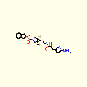 Nc1ccc(/C=C/C(=O)NCC[C@@H]2[C@H]3CN(C(=O)OC4Cc5ccccc5C4)C[C@@H]23)cn1